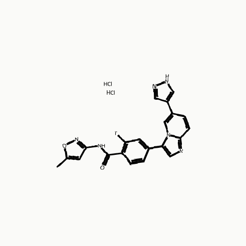 Cc1cc(NC(=O)c2ccc(-c3cnc4ccc(-c5cn[nH]c5)cn34)cc2F)no1.Cl.Cl